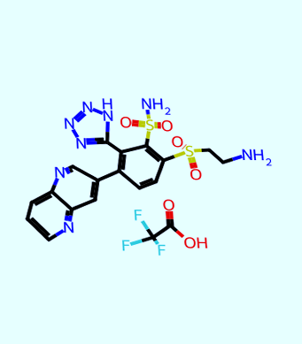 NCCS(=O)(=O)c1ccc(-c2cnc3cccnc3c2)c(-c2nnn[nH]2)c1S(N)(=O)=O.O=C(O)C(F)(F)F